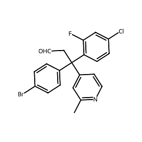 Cc1cc(C(CC=O)(c2ccc(Br)cc2)c2ccc(Cl)cc2F)ccn1